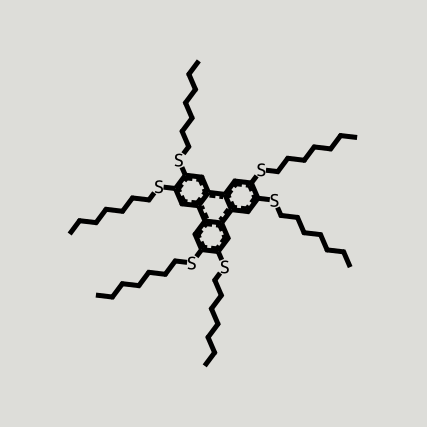 CCCCCCCSc1cc2c3cc(SCCCCCCC)c(SCCCCCCC)cc3c3cc(SCCCCCCC)c(SCCCCCCC)cc3c2cc1SCCCCCCC